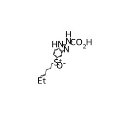 CCC=CCCC[S+]([O-])c1ccc2[nH]c(NC(=O)O)nc2c1